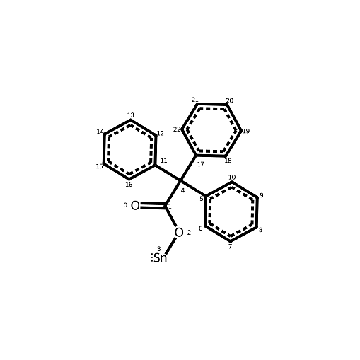 O=C([O][Sn])C(c1ccccc1)(c1ccccc1)c1ccccc1